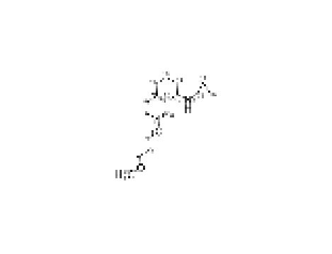 COCCCOc1ccc2c(c1)C(NC1CC1)CCC2